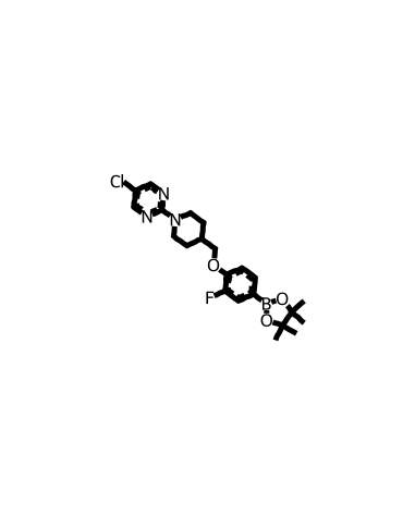 CC1(C)OB(c2ccc(OCC3CCN(c4ncc(Cl)cn4)CC3)c(F)c2)OC1(C)C